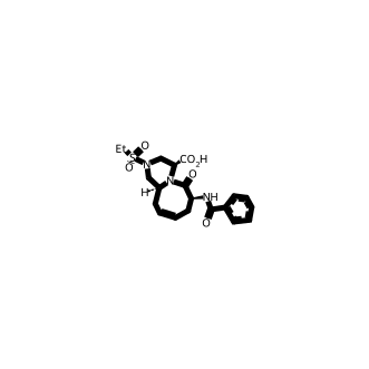 CCS(=O)(=O)N1C[C@@H]2C/C=C\C[C@H](NC(=O)c3ccccc3)C(=O)N2[C@H](C(=O)O)C1